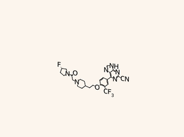 N#Cc1nc(-c2ccc(OCCC3CCN(CC(=O)N4CC[C@H](F)C4)CC3)c(C(F)(F)F)c2)c2nc[nH]c2n1